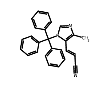 Cc1ncn(C(c2ccccc2)(c2ccccc2)c2ccccc2)c1C=CC#N